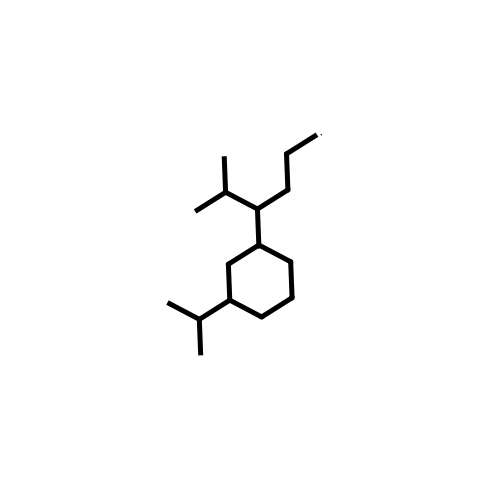 [CH2]CCC([C]1CCCC(C(C)C)C1)C(C)C